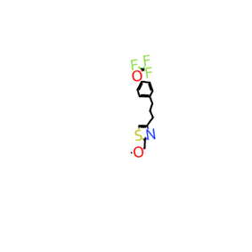 [O]Cc1nc(CCCc2ccc(OC(F)(F)F)cc2)cs1